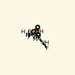 C[C@@H]1Cc2c([nH]c3ccccc23)[C@](O)(c2c(F)ccc(NCCNCCCF)c2F)N1CC(F)(F)F